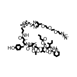 CCCC(=O)OCN(C(=O)[C@H](NC(=O)[C@@H]1CCCCN1C)C(C)CC)[C@@H](C[C@H](OC(C)=O)c1nc(C(=O)N[C@H](Cc2ccc(O)cc2)C[C@@H](C)C(=O)NCCC[Si](C)(C)O[Si](C)(C)CSc2ncc(COCCOCCOCCN=[N+]=[N-])cn2)cs1)C(C)C